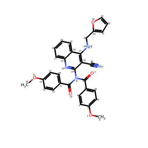 COc1ccc(C(=O)N(C(=O)c2ccc(OC)cc2)c2nc3ccccc3c(NCc3ccco3)c2C#N)cc1